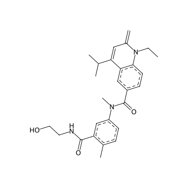 C=C1C=C(C(C)C)c2cc(C(=O)N(C)c3ccc(C)c(C(=O)NCCO)c3)ccc2N1CC